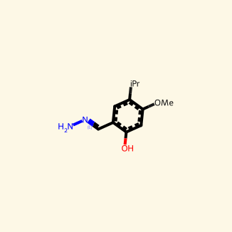 COc1cc(O)c(/C=N/N)cc1C(C)C